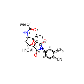 COC(=O)N[C@@H]1C[C@@]2(C)O[C@]1(C)C1C(=O)N(c3ccc(C#N)c(C(F)(F)F)c3)C(=O)[C@H]12